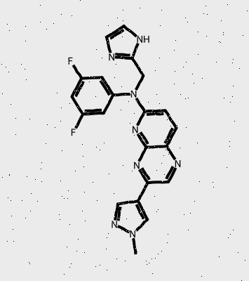 Cn1cc(-c2cnc3ccc(N(Cc4ncc[nH]4)c4cc(F)cc(F)c4)nc3n2)cn1